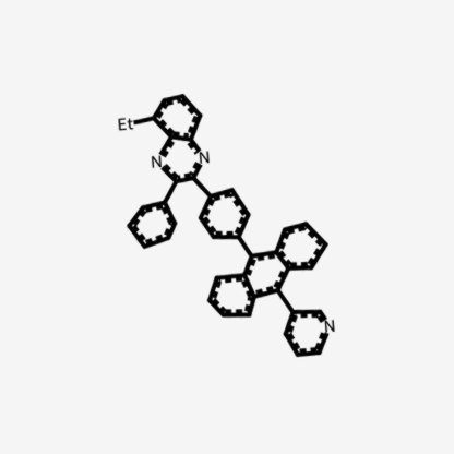 CCc1cccc2nc(-c3ccc(-c4c5ccccc5c(-c5cccnc5)c5ccccc45)cc3)c(-c3ccccc3)nc12